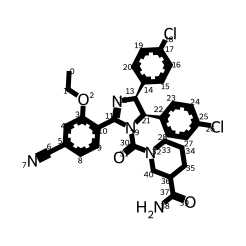 CCOc1cc(C#N)ccc1C1=N[C@@H](c2ccc(Cl)cc2)[C@@H](c2ccc(Cl)cc2)N1C(=O)N1CCCC(C(N)=O)C1